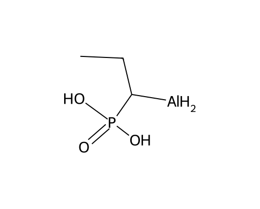 CC[CH]([AlH2])P(=O)(O)O